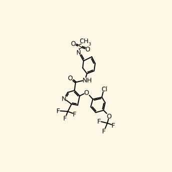 CS(=O)(=O)N=C1C=CC=C(NC(=O)c2cnc(C(F)(F)F)cc2Oc2ccc(OC(F)(F)F)cc2Cl)C1